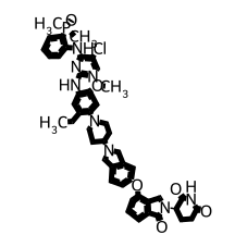 CCc1cc(Nc2ncc(Cl)c(Nc3ccccc3P(C)(C)=O)n2)c(OC)cc1N1CCC(N2Cc3ccc(Oc4cccc5c4CN([C@H]4CCC(=O)NC4=O)C5=O)cc3C2)CC1